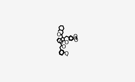 COc1cccc(CC(=O)C2C3C=CC4(O3)C(C(=O)CC3CCCCC3C)C(Cc3ccc5c(c3)OCO5)C(=O)C24)c1